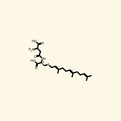 CC(C)=CCC/C(C)=C/CC/C(C)=C/CSC[C@H](NC(=O)CC(N)C(=O)O)C(=O)O